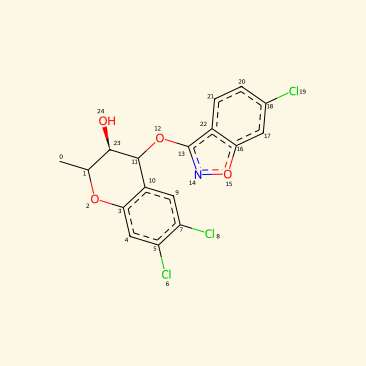 CC1Oc2cc(Cl)c(Cl)cc2C(Oc2noc3cc(Cl)ccc23)[C@@H]1O